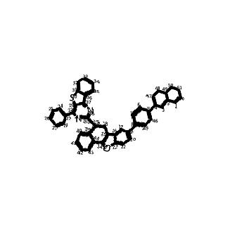 C1=CC2=CC(c3ccc(-c4ccc5oc6c(c5c4)CC(c4nc(-c5ccccc5)c5sc7ccccc7c5n4)c4ccccc4-6)cc3)=CCC2CC1